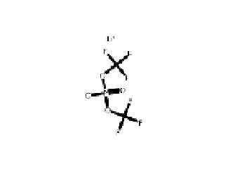 O=P([O-])(OC(F)(F)F)OC(F)(F)F.[Li+]